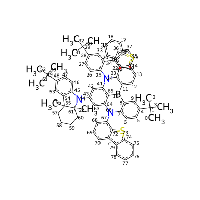 CC(C)(C)c1ccc2c(c1)B1c3ccc4sc5ccccc5c4c3N(c3ccc(C(C)(C)C)cc3-c3ccccc3)c3cc(N4c5ccc(C(C)(C)C)cc5C5(C)CCCCC45C)cc(c31)N2c1cccc2c1sc1ccccc12